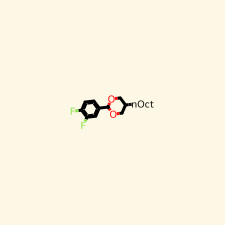 CCCCCCCCC1COC(c2ccc(F)c(F)c2)OC1